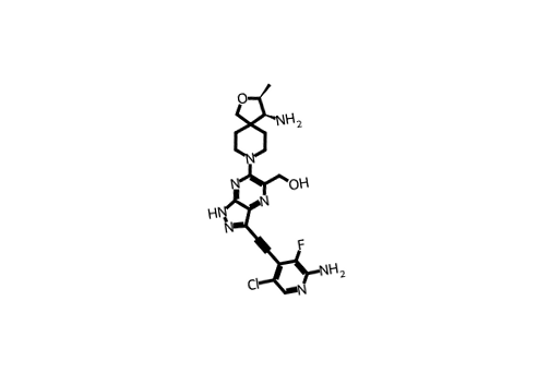 C[C@@H]1OCC2(CCN(c3nc4[nH]nc(C#Cc5c(Cl)cnc(N)c5F)c4nc3CO)CC2)[C@@H]1N